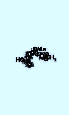 COc1cc2c(cc1OCc1ccc(S(C)(=O)=O)cc1)C1Cc3c(n(CO)c4ccccc34)CN1CC2